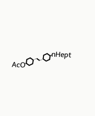 CCCCCCC[C@H]1CC[C@H](CC[C@H]2CC[C@H](OC(C)=O)CC2)CC1